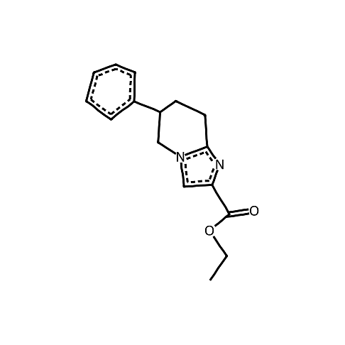 CCOC(=O)c1cn2c(n1)CCC(c1ccccc1)C2